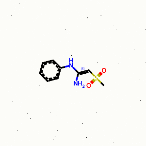 CS(=O)(=O)/C=C(\N)Nc1ccccc1